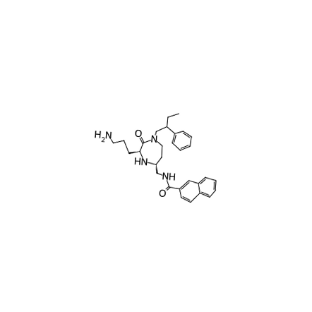 CCC(CN1CC[C@@H](CNC(=O)c2ccc3ccccc3c2)N[C@@H](CCCN)C1=O)c1ccccc1